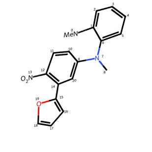 CNc1ccccc1N(C)c1ccc([N+](=O)[O-])c(-c2ccco2)c1